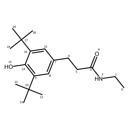 CCNC(=O)CCc1cc(C(C)(C)C)c(O)c(C(C)(C)C)c1